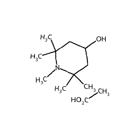 CC(=O)O.CN1C(C)(C)CC(O)CC1(C)C